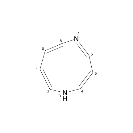 c1cc[nH]cccnc1